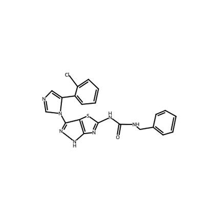 O=C(NCc1ccccc1)Nc1nc2[nH]nc(-n3cncc3-c3ccccc3Cl)c2s1